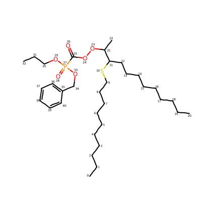 CCCCCCCCCCSC(CCCCCCCCC)C(C)OOC(=O)P(=O)(OCCC)OCc1ccccc1